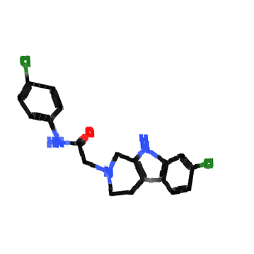 O=C(CN1CCc2c([nH]c3cc(Cl)ccc23)C1)Nc1ccc(Cl)cc1